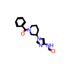 O=CNc1cn(C2CCCN(C(=O)c3ccccc3)C2)cn1